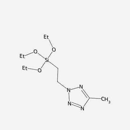 CCO[Si](CCn1nnc(C)n1)(OCC)OCC